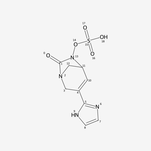 O=C1N2CC(c3ncc[nH]3)=CC(C2)N1OS(=O)(=O)O